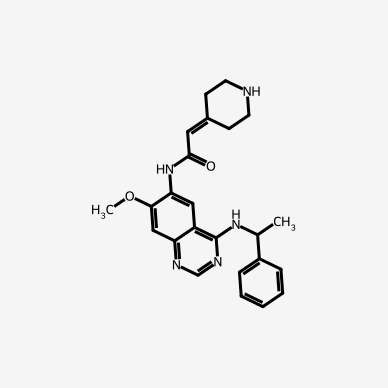 COc1cc2ncnc(NC(C)c3ccccc3)c2cc1NC(=O)C=C1CCNCC1